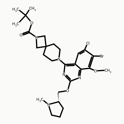 COc1c(Br)c(Cl)cc2c(N3CCC4(CC3)CN(C(=O)OC(C)(C)C)C4)nc(OC[C@@H]3CCCN3C)nc12